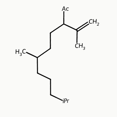 C=C(C)C(CCC(C)CCCC(C)C)C(C)=O